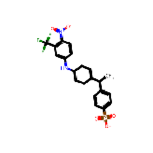 CC(c1ccc(S(=O)(=O)O)cc1)C1CCC(Nc2ccc([N+](=O)[O-])c(C(F)(F)F)c2)CC1